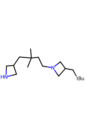 CC(C)(C)CC1CN(CCC(C)(C)CC2CNC2)C1